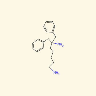 NCCCCCC(N)(Cc1ccccc1)Cc1ccccc1